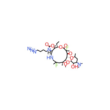 CC[C@H]1OC(=O)C(C)(F)C(=O)[C@H](C)[C@@H](O[C@@H]2OC(C)CC(N(C)C)C2O)[C@](C)(OC)CC(C)(F)CN[C@H](C)[C@H]2N(CCCCN=[N+]=[N-])C(=O)O[C@]12C